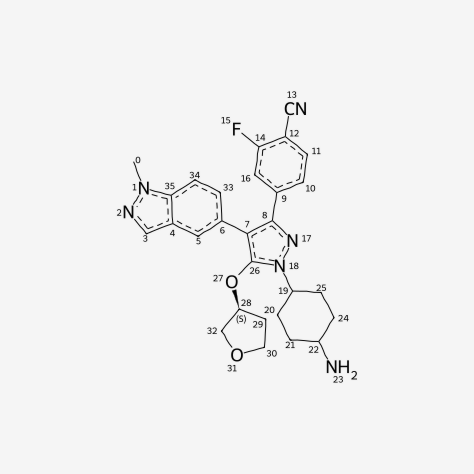 Cn1ncc2cc(-c3c(-c4ccc(C#N)c(F)c4)nn(C4CCC(N)CC4)c3O[C@H]3CCOC3)ccc21